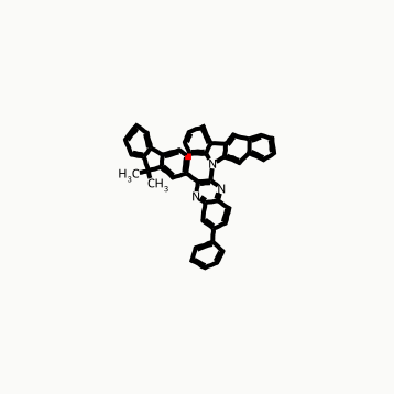 CC1(C)c2ccccc2-c2ccc(-c3nc4cc(-c5ccccc5)ccc4nc3-n3c4ccccc4c4cc5ccccc5cc43)cc21